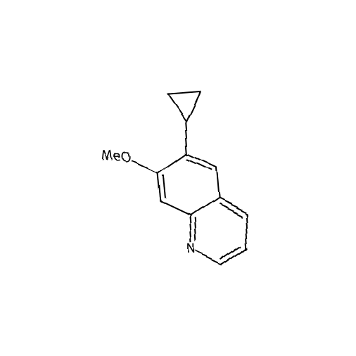 COc1cc2ncccc2cc1C1CC1